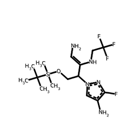 CC(C)(C)[Si](C)(C)OCC(/C(=C/N)NCC(F)(F)F)n1cc(N)c(F)n1